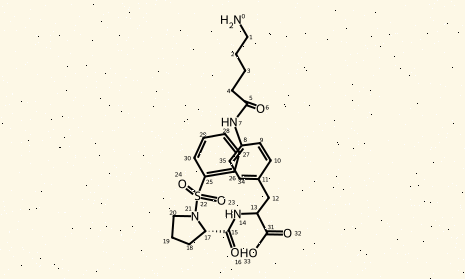 NCCCCC(=O)Nc1ccc(CC(NC(=O)[C@@H]2CCCN2S(=O)(=O)c2ccccc2)C(=O)O)cc1